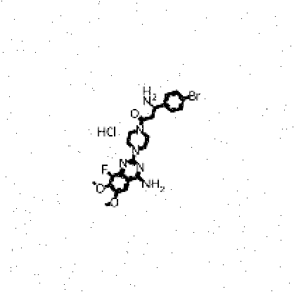 COc1cc2c(N)nc(N3CCN(C(=O)C[C@@H](N)c4ccc(Br)cc4)CC3)nc2c(F)c1OC.Cl